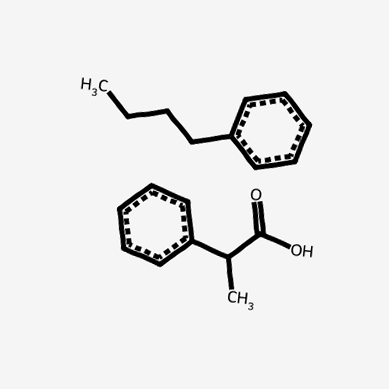 CC(C(=O)O)c1ccccc1.CCCCc1ccccc1